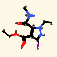 CCOC(=O)c1c(I)nn(CC)c1C(=O)NC